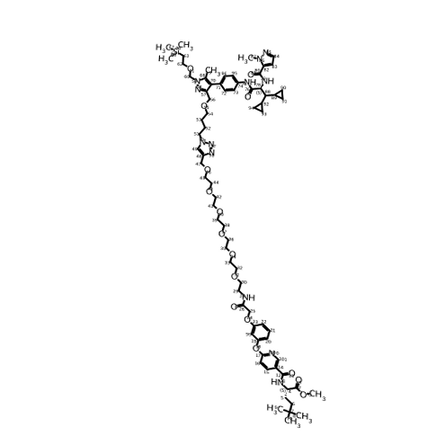 COC(=O)[C@H](CCC(C)(C)C)NC(=O)c1ccc(Oc2cccc(OCC(=O)NCCOCCOCCOCCOCCOCCOCc3cn(CCCCOCc4nn(COCC[Si](C)(C)C)c(C)c4-c4ccc(NC(=O)[C@@H](NC(=O)c5ccnn5C)C(C5CC5)C5CC5)cc4)nn3)c2)nc1